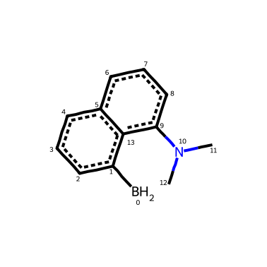 Bc1cccc2cccc(N(C)C)c12